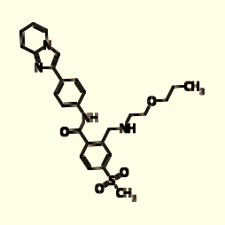 CCCOCCNCc1cc(S(C)(=O)=O)ccc1C(=O)Nc1ccc(-c2cn3ccccc3n2)cc1